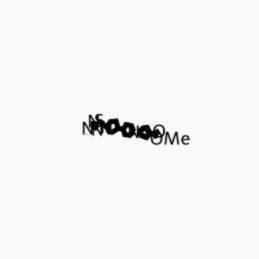 COC(=O)c1ccc(N2CCC(C3CCN(c4nc(N(C)C)ns4)CC3)CC2)cc1